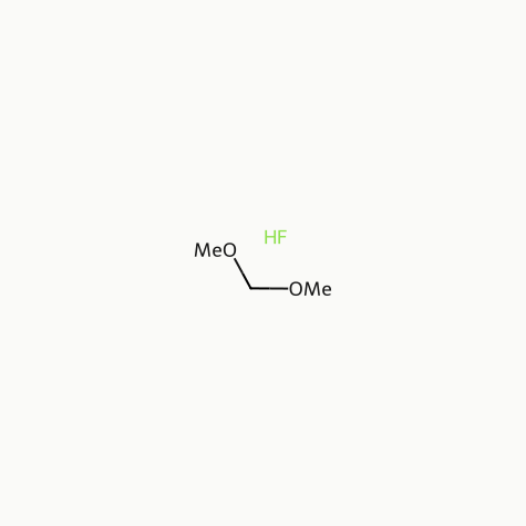 COCOC.F